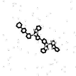 c1ccc(-c2ccc(-c3cccc(-n4c5ccc(-c6ccc7c(c6)n6c8ccccc8nc6n7-c6ncnc7c6sc6ccccc67)cc5n5c6ccccc6nc45)c3)cc2)cc1